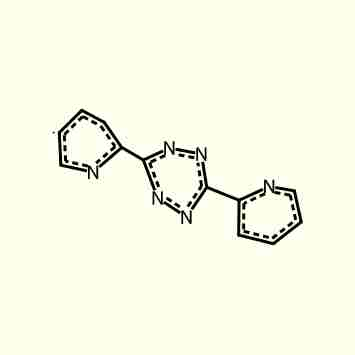 [c]1ccc(-c2nnc(-c3ccccn3)nn2)nc1